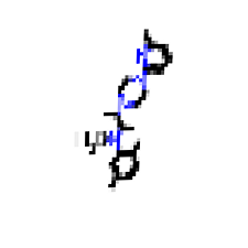 BN(c1cc(C)ccc1C)C(C)C(C)N1CCN(c2cccc(C)n2)CC1